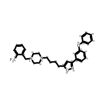 FC(F)(F)c1ccccc1CN1CCN(CCCCc2cc(-c3cccc(Oc4ccccc4)c3)no2)CC1